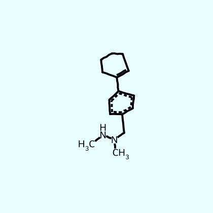 CNN(C)Cc1ccc(C2=CCCCC2)cc1